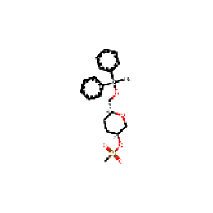 CC(C)(C)[Si](OC[C@H]1CC[C@H](OS(C)(=O)=O)CO1)(c1ccccc1)c1ccccc1